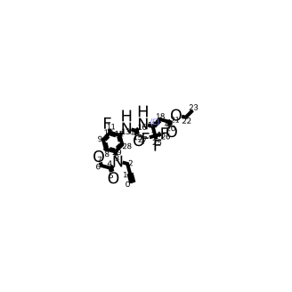 C#CCN1C(=O)COc2cc(F)c(NC(=O)N/C(=C/C(=O)OCC)C(F)(F)F)cc21